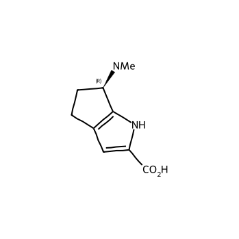 CN[C@@H]1CCc2cc(C(=O)O)[nH]c21